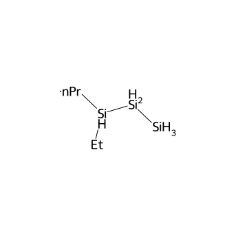 CC[CH][SiH](CC)[SiH2][SiH3]